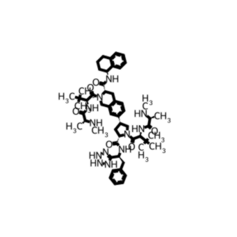 CN[C@@H](C)C(=O)N[C@H](C(=O)N1C[C@@H](c2ccc3c(c2)CN(C(=O)[C@@H](NC(=O)[C@H](C)NC)C(C)(C)C)[C@H](C(=O)N[C@@H]2CCCc4ccccc42)C3)C[C@H]1C(=O)N[C@@H](Cc1ccccc1)C1=NNNN1)C(C)(C)C